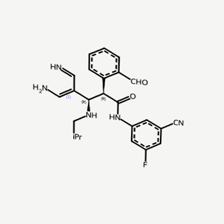 CC(C)CN[C@@H](/C(C=N)=C/N)[C@H](C(=O)Nc1cc(F)cc(C#N)c1)c1ccccc1C=O